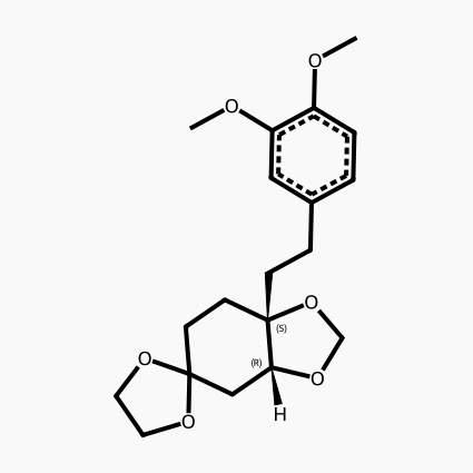 COc1ccc(CC[C@]23CCC4(C[C@H]2OCO3)OCCO4)cc1OC